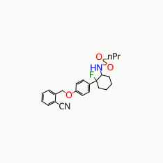 CCCS(=O)(=O)NC1CCCCC1(F)c1ccc(OCc2ccccc2C#N)cc1